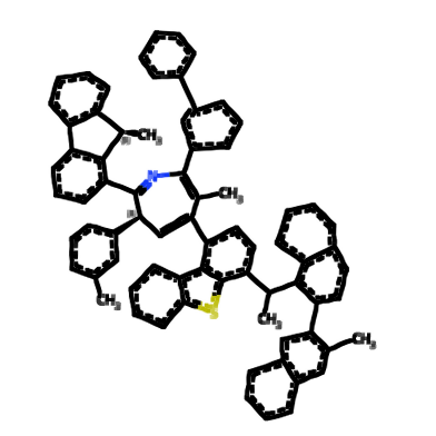 CC1=C(c2cccc(-c3ccccc3)c2)N=C(c2cccc3c2[C@H](C)c2ccccc2-3)[C@H](c2cccc(C)c2)C=C1c1ccc(C(C)c2c(-c3cc4ccccc4cc3C)ccc3ccccc23)c2sc3ccccc3c12